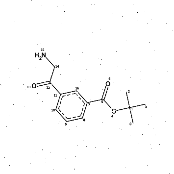 CC(C)(C)OC(=O)c1cccc(C(=O)CN)c1